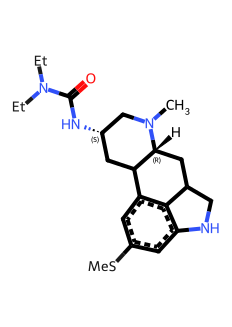 CCN(CC)C(=O)N[C@H]1CC2c3cc(SC)cc4c3C(CN4)C[C@H]2N(C)C1